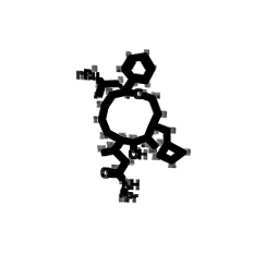 CCCCC(C)C[C@@]1(c2ccccc2)CCCCC(C(C)CC(=O)NCCC)C(O)C(C)C(CC2CCC2)CCC1